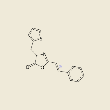 O=C1OC(/C=C/c2ccccc2)=NC1Cc1cccs1